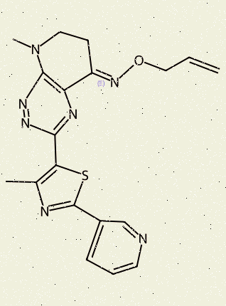 C=CCO/N=C1\CCN(C)c2nnc(-c3sc(-c4cccnc4)nc3C)nc21